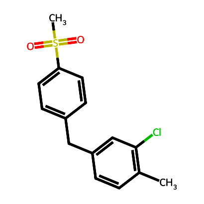 Cc1ccc(Cc2ccc(S(C)(=O)=O)cc2)cc1Cl